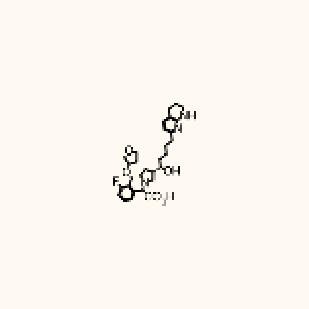 O=C(O)C(c1cccc(F)c1COC1CCOC1)N1CC[C@@H](C(O)CCCCc2ccc3c(n2)NCCC3)C1